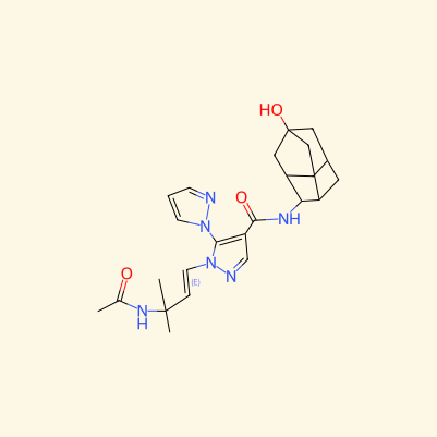 CC(=O)NC(C)(C)/C=C/n1ncc(C(=O)NC2C3CC4CC2CC(O)(C4)C3)c1-n1cccn1